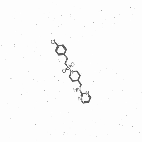 O=S(=O)(CCc1ccc(Cl)cc1)N1CCC(CNc2ncccn2)CC1